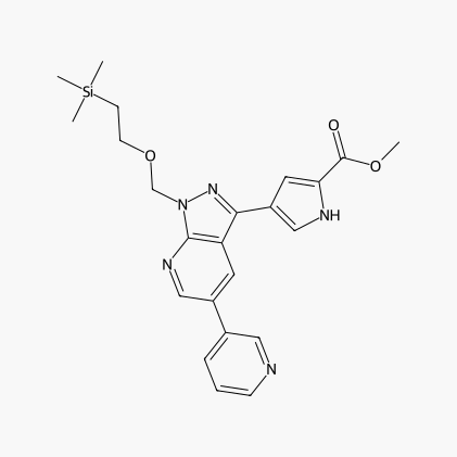 COC(=O)c1cc(-c2nn(COCC[Si](C)(C)C)c3ncc(-c4cccnc4)cc23)c[nH]1